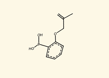 C=C(C)COc1ccccc1B(O)O